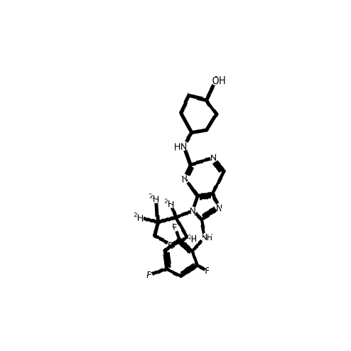 [2H]C1OCC([2H])([2H])C1([2H])n1c(Nc2c(F)cc(F)cc2F)nc2cnc(NC3CCC(O)CC3)nc21